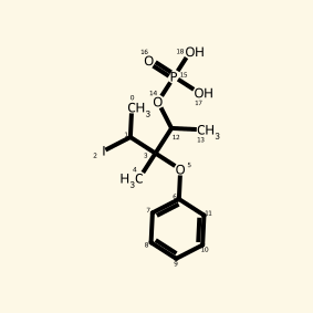 CC(I)C(C)(Oc1ccccc1)C(C)OP(=O)(O)O